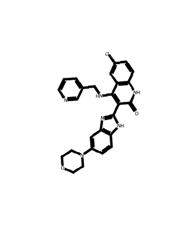 O=c1[nH]c2ccc(Cl)cc2c(NCc2cccnc2)c1-c1nc2cc(N3CCOCC3)ccc2[nH]1